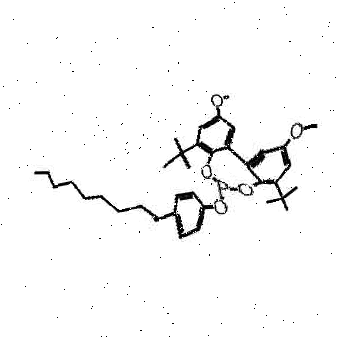 CCCCCCCCCc1ccc(Op2oc3c(C(C)(C)C)cc(OC)cc3c3cc(OC)cc(C(C)(C)C)c3o2)cc1